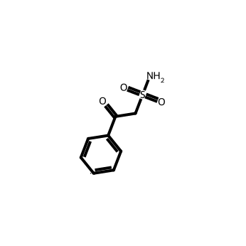 NS(=O)(=O)CC(=O)c1cc[c]cc1